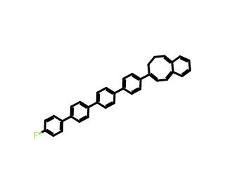 Fc1ccc(-c2ccc(-c3ccc(-c4ccc(/C5=C/C=c6/cccc/c6=C/CC5)cc4)cc3)cc2)cc1